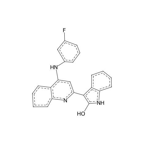 Oc1[nH]c2ccccc2c1-c1cc(Nc2cccc(F)c2)c2ccccc2n1